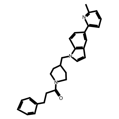 Cc1cccc(-c2ccc3c(ccn3CC3CCN(C(=O)CCc4ccccc4)CC3)c2)n1